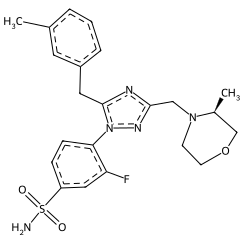 Cc1cccc(Cc2nc(CN3CCOC[C@@H]3C)nn2-c2ccc(S(N)(=O)=O)cc2F)c1